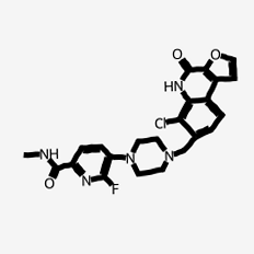 CNC(=O)c1ccc(N2CCN(Cc3ccc4c([nH]c(=O)c5occc54)c3Cl)CC2)c(F)n1